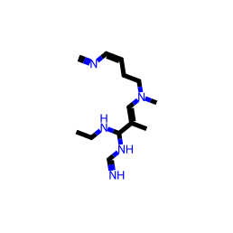 C=N/C=C\CCN(C)/C=C(\C)C(NC=N)NCC